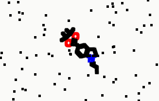 CCCN1CCc2cc(B3OC(C)(C)C(C)(C)O3)ccc21